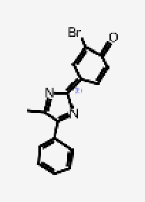 CC1=N/C(=C2/C=CC(=O)C(Br)=C2)N=C1c1ccccc1